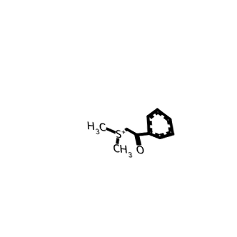 C[S+](C)CC(=O)c1ccccc1